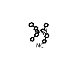 N#Cc1ccc(-c2cccc(-c3nc(-c4ccccc4)cc(-n4c5ccc(-c6ccccc6)cc5c5cc(-c6ccccc6)ccc54)n3)c2)cc1